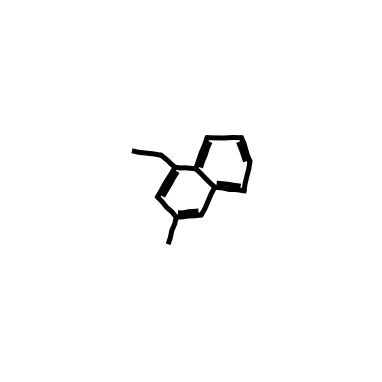 CCc1cc(C)cc2ccccc12